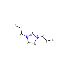 CCCN1C=[N+](CCC)CC1